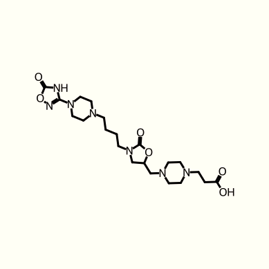 O=C(O)CCN1CCN(CC2CN(CCCCN3CCN(c4noc(=O)[nH]4)CC3)C(=O)O2)CC1